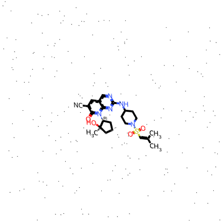 CC(C)=CS(=O)(=O)N1CCC(Nc2ncc3cc(C#N)c(=O)n([C@@H]4CCC[C@@]4(C)O)c3n2)CC1